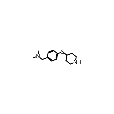 CN(C)Cc1ccc(SC2CCNCC2)cc1